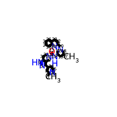 Cc1cc(-c2n[nH]c3c2CN(C(=O)NC2CC(C)CN(Cc4ccc5ccccc5n4)C2)CC3)ccn1